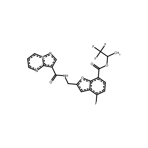 CC(OC(=O)c1ccc(F)c2cc(CNC(=O)c3cnn4cccnc34)oc12)C(F)(F)F